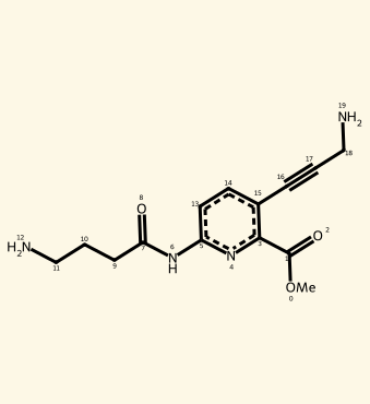 COC(=O)c1nc(NC(=O)CCCN)ccc1C#CCN